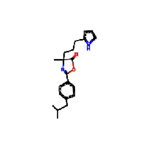 CC(C)Cc1ccc(C2=NC(C)(CCCc3ccc[nH]3)C(=O)O2)cc1